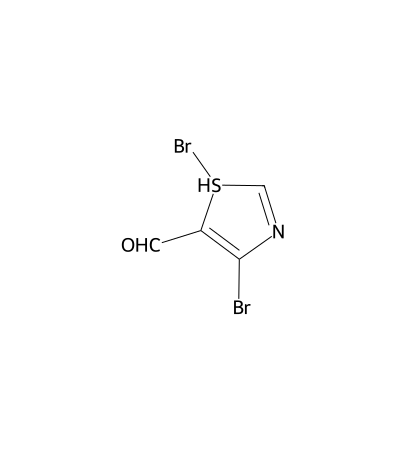 O=CC1=C(Br)N=C[SH]1Br